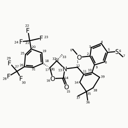 COc1ccc(SC)cc1C1=C(CN2C(=O)O[C@H](c3cc(C(F)(F)F)cc(C(F)(F)F)c3)[C@@H]2C)CC(C)(C)CC1